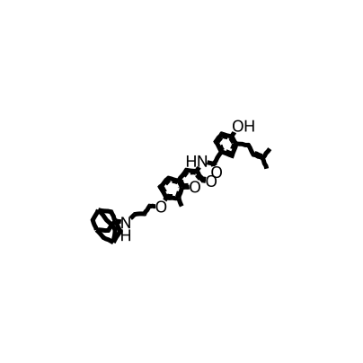 CC(C)=CCc1cc(C(=O)Nc2cc3ccc(OCCCNC45CC6CC(CC(C6)C4)C5)c(C)c3oc2=O)ccc1O